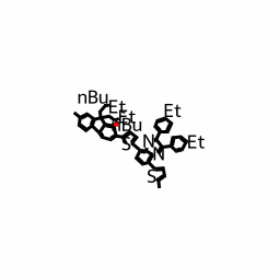 CCCCC(CC)CC1(CC(CC)CCCC)c2cc(C)ccc2-c2ccc(-c3ccc(-c4ccc(-c5ccc(C)s5)c5nc(-c6ccc(CC)cc6)c(-c6ccc(CC)cc6)nc45)s3)cc21